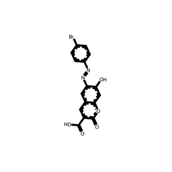 O=C(O)c1cc2cc(N=Nc3ccc(Br)cc3)c(O)cc2oc1=O